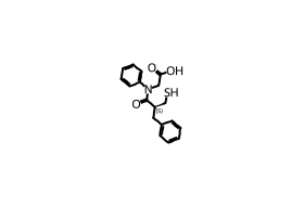 O=C(O)CN(C(=O)[C@@H](CS)Cc1ccccc1)c1ccccc1